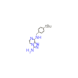 CC(C)(C)c1ccc(CNc2nccn3c(N)nnc23)cc1